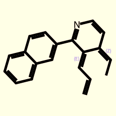 C=C/C=c1/c(-c2ccc3ccccc3c2)ncc/c1=C/C